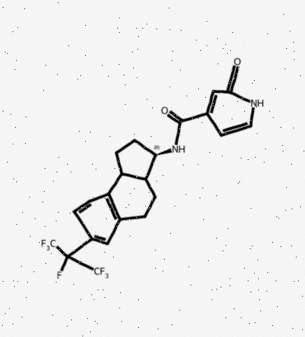 O=C(N[C@@H]1CCC2c3ccc(C(F)(C(F)(F)F)C(F)(F)F)cc3CCC21)c1cc[nH]c(=O)c1